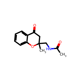 CC(=O)NCC1(C)CC(=O)c2ccccc2O1